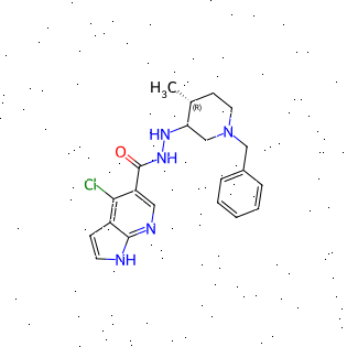 C[C@@H]1CCN(Cc2ccccc2)CC1NNC(=O)c1cnc2[nH]ccc2c1Cl